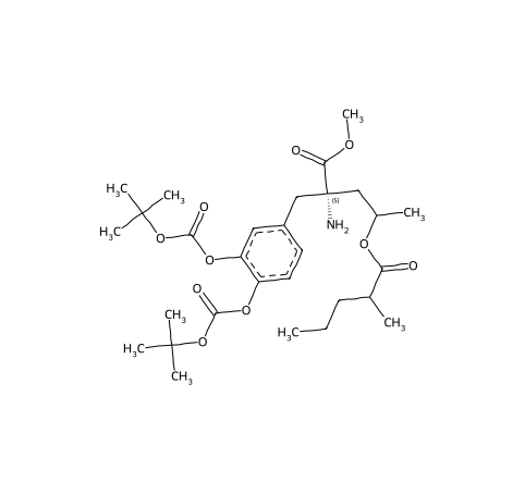 CCCC(C)C(=O)OC(C)C[C@@](N)(Cc1ccc(OC(=O)OC(C)(C)C)c(OC(=O)OC(C)(C)C)c1)C(=O)OC